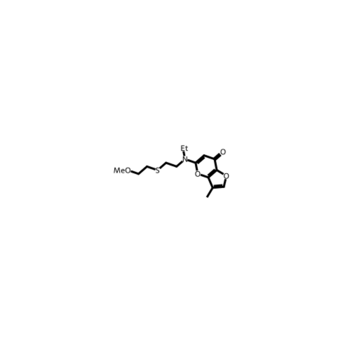 CCN(CCSCCOC)c1cc(=O)c2occ(C)c2o1